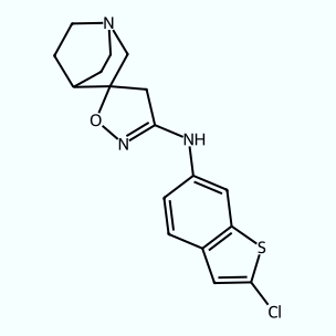 Clc1cc2ccc(NC3=NOC4(C3)CN3CCC4CC3)cc2s1